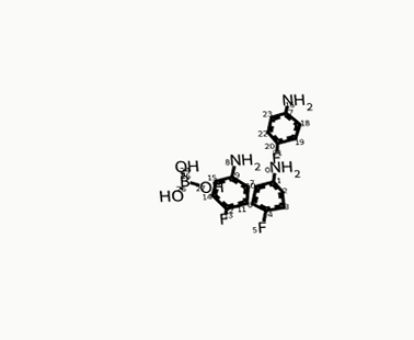 Nc1ccc(F)cc1.Nc1ccc(F)cc1.Nc1ccc(F)cc1.OB(O)O